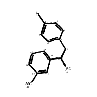 CC(=O)C(Cc1ccc(Cl)cc1)c1cccc(C#N)c1